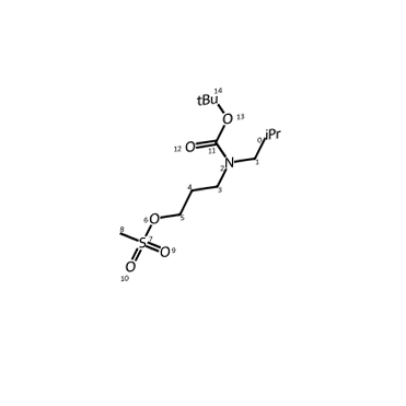 CC(C)CN(CCCOS(C)(=O)=O)C(=O)OC(C)(C)C